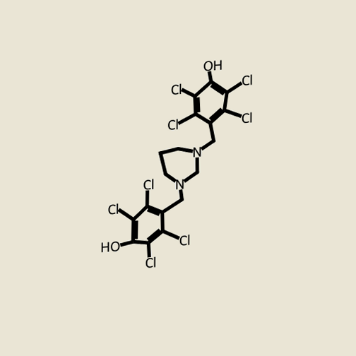 Oc1c(Cl)c(Cl)c(CN2CCCN(Cc3c(Cl)c(Cl)c(O)c(Cl)c3Cl)C2)c(Cl)c1Cl